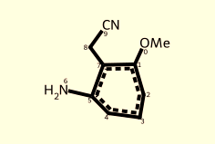 COc1cccc(N)c1CC#N